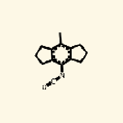 Cc1c2c(c(N=C=O)c3c1CCC3)CCC2